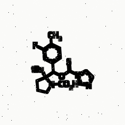 Cc1ccc(C(OC(=S)n2ccnc2)[C@@]2(C(C)(C)C)CCCN2C(=O)O)cc1F